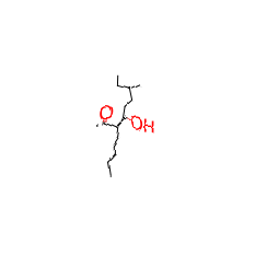 CCCCCC([C]=O)C(O)CCC(C)CC